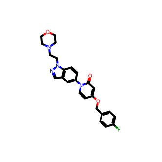 O=c1cc(OCc2ccc(F)cc2)ccn1-c1ccc2c(cnn2CCN2CCOCC2)c1